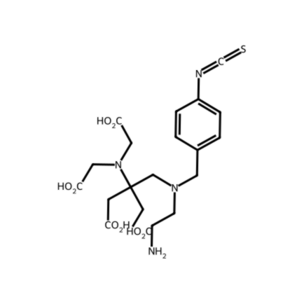 NCCN(Cc1ccc(N=C=S)cc1)CC(CC(=O)O)(CC(=O)O)N(CC(=O)O)CC(=O)O